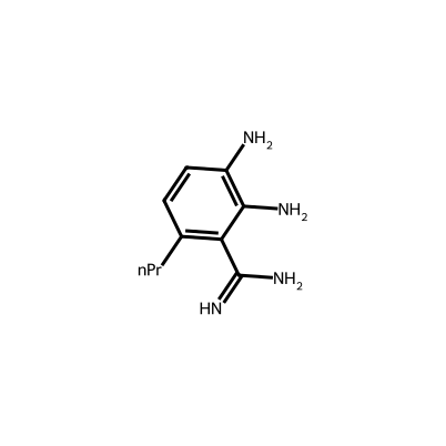 CCCc1ccc(N)c(N)c1C(=N)N